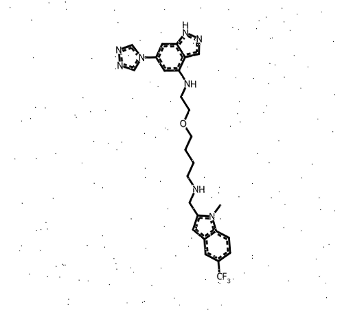 Cn1c(CNCCCCOCCNc2cc(-n3cnnc3)cc3[nH]ncc23)cc2cc(C(F)(F)F)ccc21